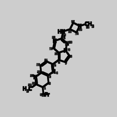 CCCC1Cc2nc(-c3ccn4nc(NC5CN(C)C5)ncc34)ccc2N=C1C